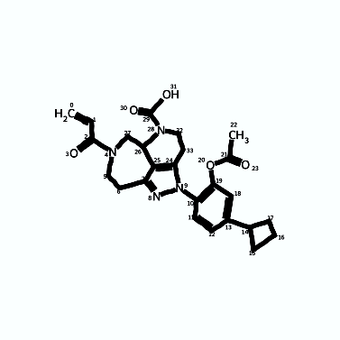 C=CC(=O)N1CCc2nn(-c3ccc(C4CCC4)cc3OC(C)=O)c3c2C(C1)N(C(=O)O)CC3